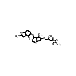 Cc1cc2c(F)c(Oc3ncnn4cc(OCC(O)CNS(C)(=O)=O)c(C)c34)ccc2[nH]1